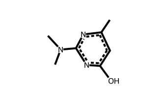 Cc1cc(O)nc(N(C)C)n1